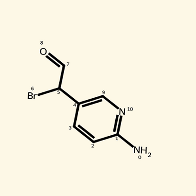 Nc1ccc(C(Br)C=O)cn1